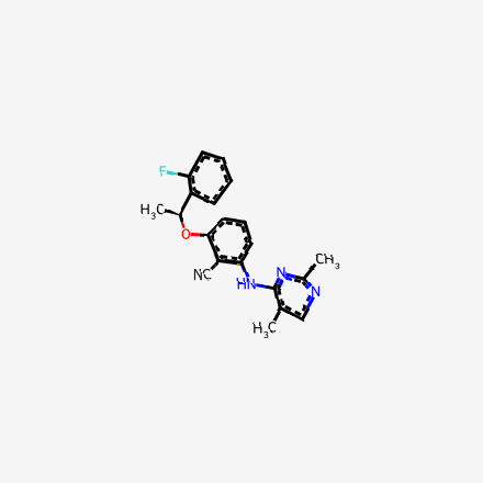 Cc1ncc(C)c(Nc2cccc(O[C@@H](C)c3ccccc3F)c2C#N)n1